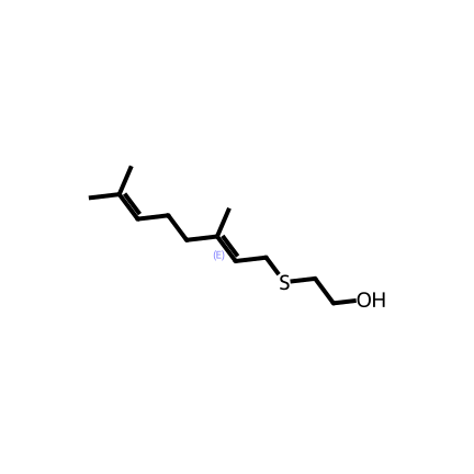 CC(C)=CCC/C(C)=C/CSCCO